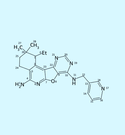 CCC1c2c(c(N)nc3oc4c(NCc5cccnc5)ncnc4c23)CCC1(C)C